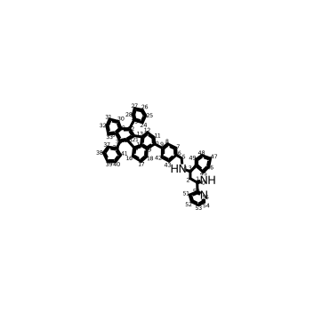 N=C(CC(NCc1ccc(-c2ccc3c4c(cccc24)-c2c-3c(-c3ccccc3)c3ccccc3c2-c2ccccc2)cc1)c1ccccc1)c1ccccn1